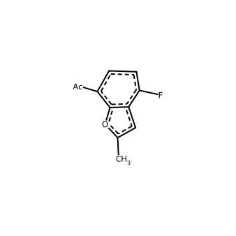 CC(=O)c1ccc(F)c2cc(C)oc12